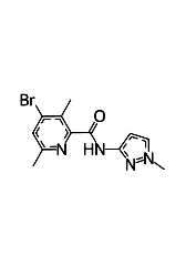 Cc1cc(Br)c(C)c(C(=O)Nc2ccn(C)n2)n1